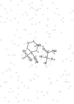 CS(=O)(=O)C1(C#N)CCCNC1.O=C(O)C(F)(F)F